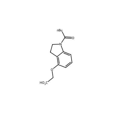 CCCCC(=O)N1CCc2c(OCC(=O)O)cccc21